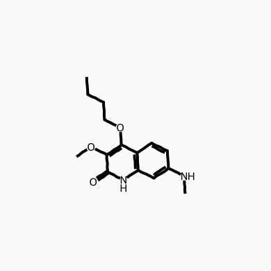 CCCCOc1c(OC)c(=O)[nH]c2cc(NC)ccc12